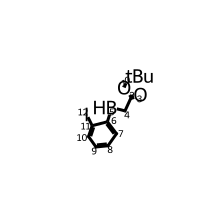 CC(C)(C)OC(=O)CBc1ccccc1I